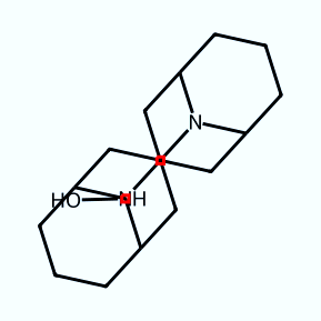 ONC1CC2CCCC(C1)N2C1CC2CCCC(C2)C1